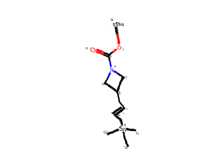 CC(C)(C)OC(=O)N1CC(/C=[CH]/[Sn]([CH3])([CH3])[CH3])C1